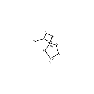 CC1CC[C@]12CCNC2